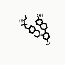 CCNC(C)(C)Cc1ccc(CN(CC)c2cc(OC)ccc2C2CCc3cc(O)ccc3C2)cc1